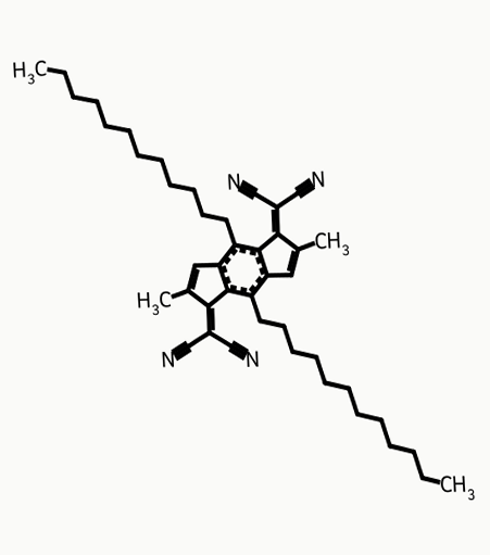 CCCCCCCCCCCCc1c2c(c(CCCCCCCCCCCC)c3c1C(=C(C#N)C#N)C(C)=C3)C(=C(C#N)C#N)C(C)=C2